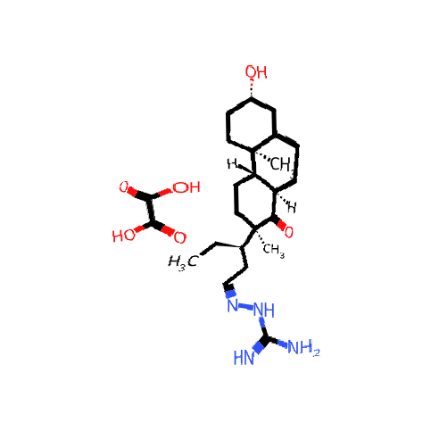 CC[C@H](C/C=N\NC(=N)N)[C@@]1(C)CC[C@H]2[C@@H](CCC3C[C@@H](O)CC[C@@]32C)C1=O.O=C(O)C(=O)O